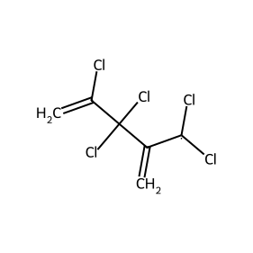 C=C(Cl)C(Cl)(Cl)C(=C)[C](Cl)Cl